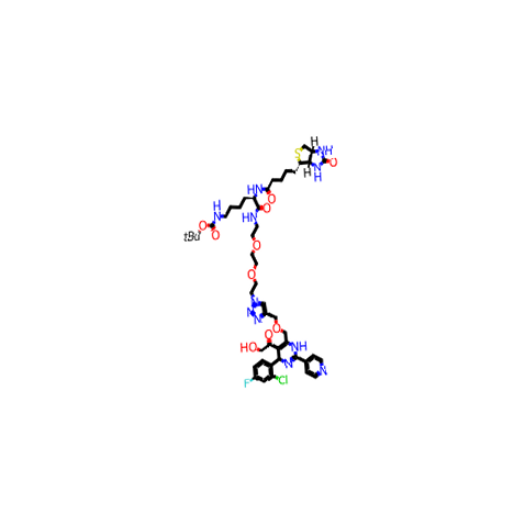 CC(C)(C)OC(=O)NCCCC[C@@H](NC(=O)CCCC[C@@H]1SC[C@@H]2NC(=O)N[C@@H]21)C(=O)NCCOCCOCCn1cc(COCC2=C(C(=O)CO)C(c3ccc(F)cc3Cl)N=C(c3ccncc3)N2)nn1